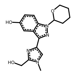 Cn1cc(-c2nn(C3CCCCO3)c3ccc(O)cc23)nc1CO